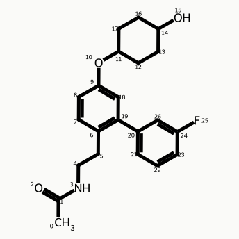 CC(=O)NCCc1ccc(OC2CCC(O)CC2)cc1-c1cccc(F)c1